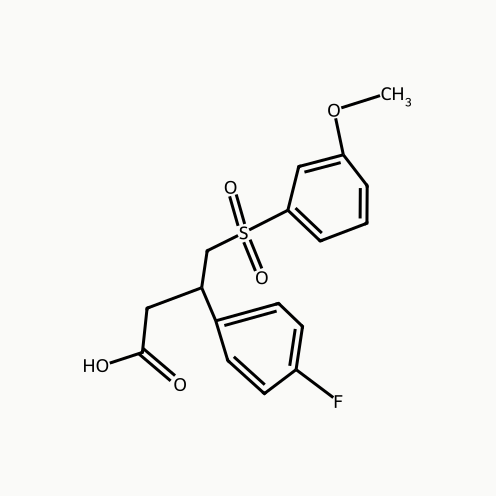 COc1cccc(S(=O)(=O)CC(CC(=O)O)c2ccc(F)cc2)c1